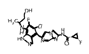 CC(CCO)Nc1c(F)c(Cl)c(-c2cn3cc(NC(=O)[C@@H]4C[C@@H]4F)nc3cn2)c2cn[nH]c12